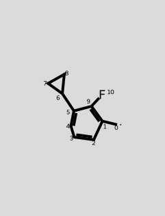 [CH2]c1cccc(C2CC2)c1F